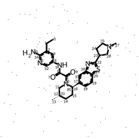 CCc1cc(NC(=O)C(=O)N2C[C@@H](C)CC[C@@H]2c2ccc3sc(C4CCN(C)C4)nc3c2)cnc1N